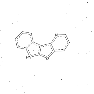 c1ccc2c(c1)[nH]c1oc3cccnc3c12